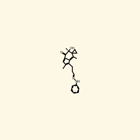 CC1=C(CCC=NNc2ccccc2)C2=C(C)C3(CC3)[C@@](C)(O)C(=O)C2=C1